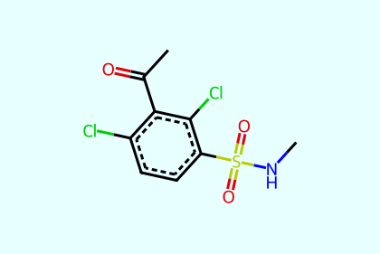 CNS(=O)(=O)c1ccc(Cl)c(C(C)=O)c1Cl